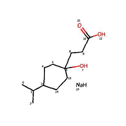 CC(C)C1CCC(O)(CCC(=O)O)CC1.[NaH]